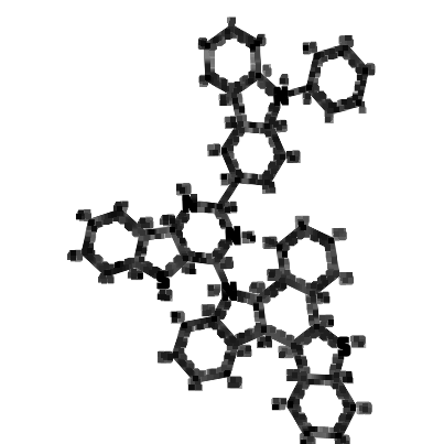 c1ccc(-n2c3ccccc3c3cc(-c4nc(-n5c6ccccc6c6c7c8ccccc8sc7c7ccccc7c65)c5sc6ccccc6c5n4)ccc32)cc1